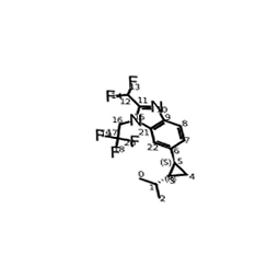 CC(C)[C@H]1C[C@@H]1c1ccc2nc(C(F)F)n(CC(F)(F)F)c2c1